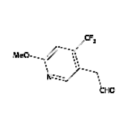 COc1cc(C(F)(F)F)c(CC=O)cn1